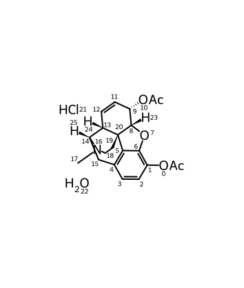 CC(=O)Oc1ccc2c3c1O[C@H]1[C@@H](OC(C)=O)C=C[C@H]4[C@@H](C2)N(C)CC[C@@]341.Cl.O